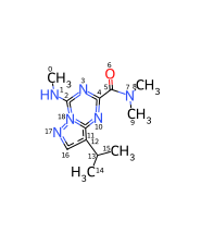 CNc1nc(C(=O)N(C)C)nc2c(C(C)C)cnn12